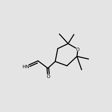 CC1(C)CC(C(=O)C=N)CC(C)(C)O1